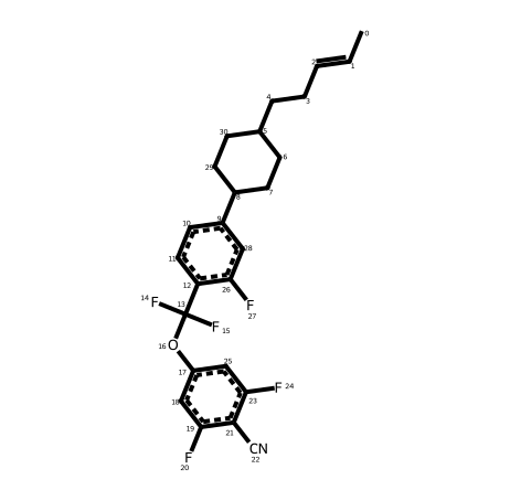 CC=CCCC1CCC(c2ccc(C(F)(F)Oc3cc(F)c(C#N)c(F)c3)c(F)c2)CC1